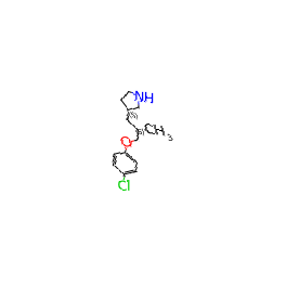 C[C@H](COc1ccc(Cl)cc1)C[C@H]1CCNC1